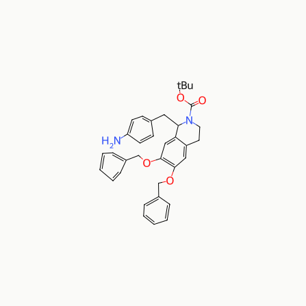 CC(C)(C)OC(=O)N1CCc2cc(OCc3ccccc3)c(OCc3ccccc3)cc2C1Cc1ccc(N)cc1